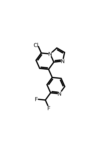 FC(F)c1cc(-c2ccc(Cl)n3ccnc23)ccn1